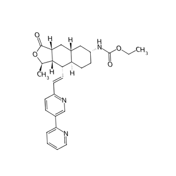 CCOC(=O)N[C@@H]1CC[C@@H]2[C@@H](C1)C[C@H]1C(=O)O[C@H](C)[C@H]1[C@H]2/C=C/c1ccc(-c2ccccn2)cn1